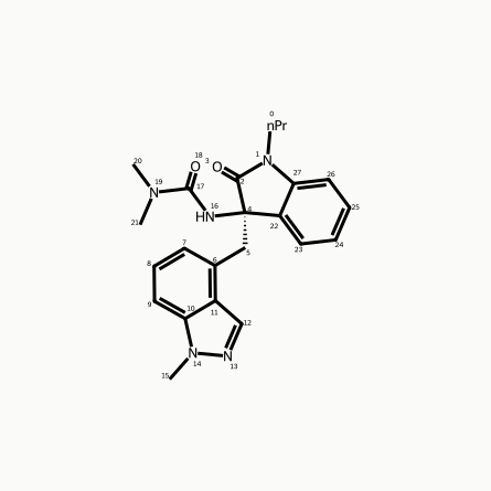 CCCN1C(=O)[C@](Cc2cccc3c2cnn3C)(NC(=O)N(C)C)c2ccccc21